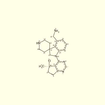 C[C@@]1(Cl)CCc2ncnc(N3CC4(CCNCC4)c4c(CN)cccc43)c21